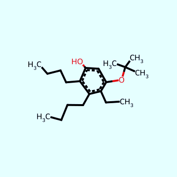 CCCCc1c(O)cc(OC(C)(C)C)c(CC)c1CCCC